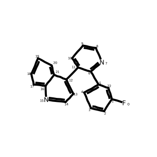 Fc1cccc(-c2ncccc2-c2ccnc3ccccc23)c1